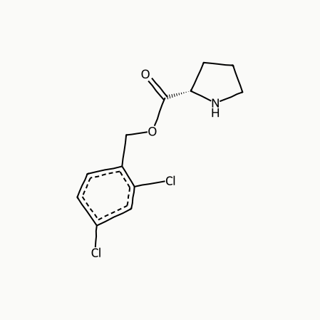 O=C(OCc1ccc(Cl)cc1Cl)[C@@H]1CCCN1